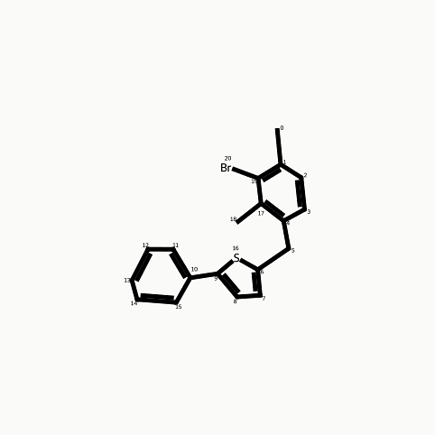 Cc1ccc(Cc2ccc(-c3ccccc3)s2)c(C)c1Br